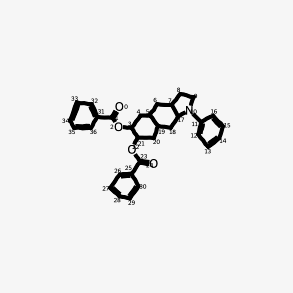 O=C(OC1CC2CC3CCN(c4ccccc4)C3CC2CC1OC(=O)c1ccccc1)c1ccccc1